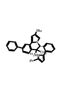 CC(C)c1ccc(-c2ccccc2[C@H]2n3cc(C(C)(C)C)cc3-c3cc(-c4ccccc4)ccc3C2(C)C)[nH]1